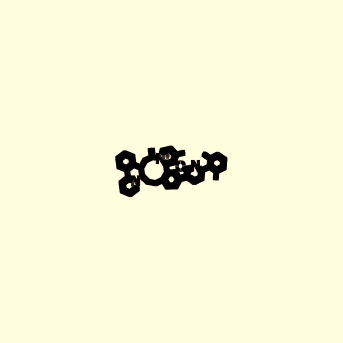 C=C1CC2c3ccccc3-c3cccc[n+]3C2CCc2ccc3c(oc4nc(-c5c(C)cccc5C)ccc43)c2-c2cc(C)cc[n+]21